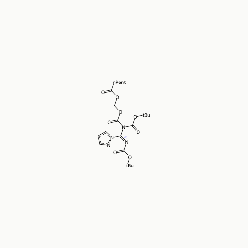 CCCCCC(=O)OCOC(=O)N(C(=O)OC(C)(C)C)/C(=N/C(=O)OC(C)(C)C)n1cccn1